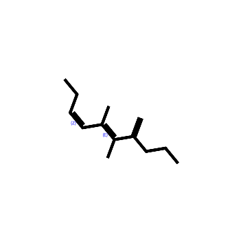 C=C(CCC)/C(C)=C(C)/C=C\CC